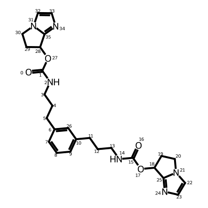 O=C(NCCCc1cccc(CCCNC(=O)OC2CCn3ccnc32)c1)OC1CCn2ccnc21